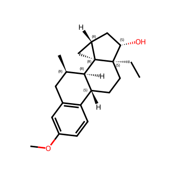 CC[C@]12CC[C@@H]3c4ccc(OC)cc4C[C@@H](C)[C@H]3[C@]13C[C@@H]3C[C@@H]2O